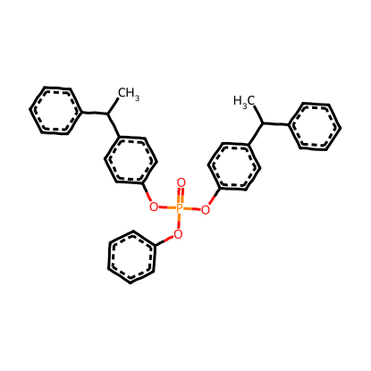 CC(c1ccccc1)c1ccc(OP(=O)(Oc2ccccc2)Oc2ccc(C(C)c3ccccc3)cc2)cc1